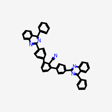 N#Cc1c(-c2ccc(-c3nc(-c4ccccc4)c4ccccc4n3)cc2)cccc1-c1ccc(-c2nc(-c3ccccc3)c3ccccc3n2)cc1